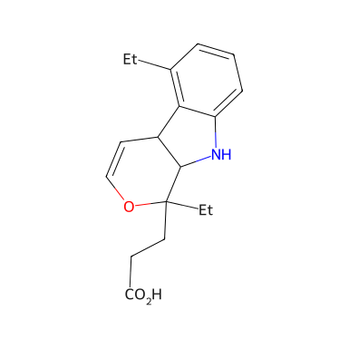 CCc1cccc2c1C1C=COC(CC)(CCC(=O)O)C1N2